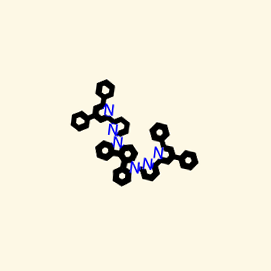 C1=CCC(c2cc(C3=CCCC=C3)cc(C3=NC(n4c5ccccc5c5c6c7ccccc7n(-c7cccc(-c8cc(-c9ccccc9)cc(-c9ccccc9)n8)n7)c6ccc54)=CCC3)n2)C=C1